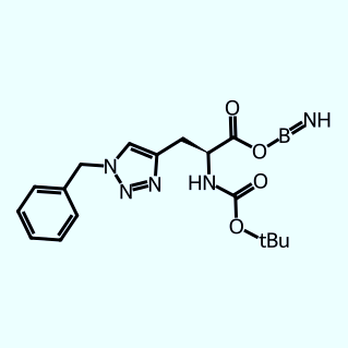 CC(C)(C)OC(=O)N[C@@H](Cc1cn(Cc2ccccc2)nn1)C(=O)OB=N